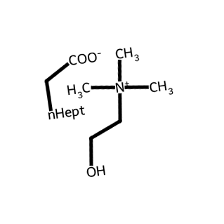 CCCCCCCCC(=O)[O-].C[N+](C)(C)CCO